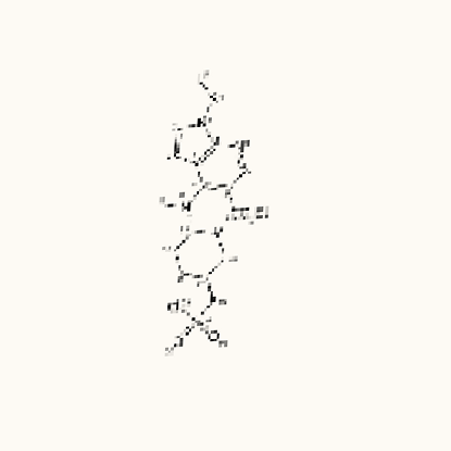 CCOC(=O)c1cnc2c(ccn2SI)c1N(C)[C@H]1CC[C@H](CS(=O)(=O)Cl)CC1